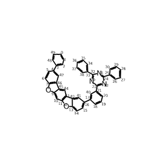 c1ccc(-c2ccc3oc4cc5oc6ccc(-c7cccc(-c8nc(-c9ccccc9)nc(-c9ccccc9)n8)c7)cc6c5cc4c3c2)cc1